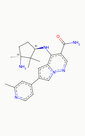 Cc1cc(-c2cc3c(N[C@@H]4CC[C@](C)(N)C4(C)C)c(C(N)=O)cnn3c2)ccn1